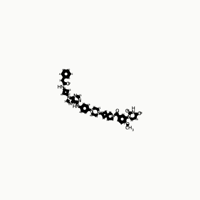 COc1ccc(C(=O)N2CCC3(CC(N4CCN(c5ccc(Nc6ncnc7c6ncn7C6CC(NC(=O)Cc7ccccc7)C6)cc5)CC4)C3)C2)cc1N1CCC(=O)NC1=O